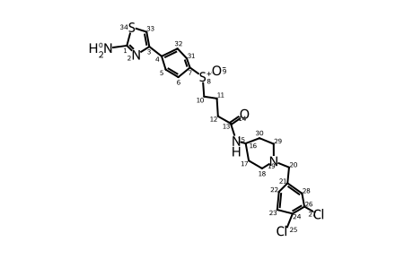 Nc1nc(-c2ccc([S+]([O-])CCCC(=O)NC3CCN(Cc4ccc(Cl)c(Cl)c4)CC3)cc2)cs1